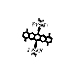 C=C(C)[Si](C#CC1=C2CC3C(=CC2C(C#C[Si](C(=C)C)(C(C)C)C(C)C)C2CC4=C(C=C12)C(C)CCC4C)C(C)=CCC3C)(C(C)C)C(C)C